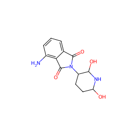 Nc1cccc2c1C(=O)N(C1CCC(O)NC1O)C2=O